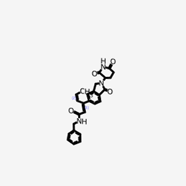 C/C=C\C(=C/C(=O)NCc1ccccc1)c1ccc2c(c1)CN(C1CCC(=O)NC1=O)C2=O